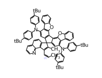 C/C=C\C1=C(C)C2(c3ccc4cccnc4c31)c1cc(N(c3ccc(C(C)(C)C)cc3)c3ccc(C(C)(C)C)cc3)c3c(oc4ccccc43)c1-c1c2cc(N(c2ccc(C(C)(C)C)cc2)c2ccc(C(C)(C)C)cc2)c2c1oc1ccccc12